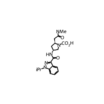 CNC(=O)C[C@@H]1C[C@H](NC(=O)c2nn(C(C)C)c3ccccc23)CN1C(=O)O